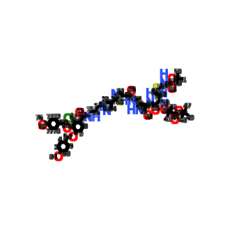 COc1ccc(COc2ccc(C(=O)NCCCn3cc(-c4ncc(C(=O)NC[C@H]5NC(=O)[C@H]5NC(=O)/C(=N\OC(C)(C)C(=O)OC(C)(C)C)c5csc(NC(=O)OC(C)(C)C)n5)s4)cn3)c(Cl)c2OCc2ccc(OC)cc2)cc1